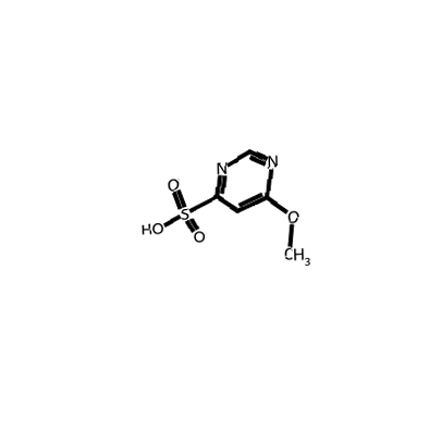 COc1cc(S(=O)(=O)O)ncn1